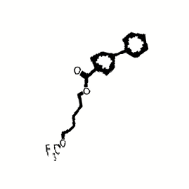 O=C(OCCCCCOC(F)(F)F)c1ccc(-c2ccccc2)cc1